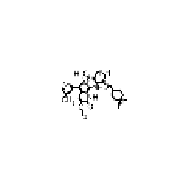 CO[C@H]1CNC[C@@H](OCC2CCC(F)(F)CC2)[C@@H]1Nc1ncc(-c2cncc(C)c2)c2cc(C)c(=O)[nH]c12